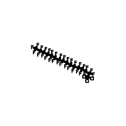 FC(F)(F)C(F)(F)C(F)(F)C(F)(F)C(F)(F)C(F)(F)C(F)(F)C(F)(F)C(F)(F)C(F)(F)C(F)(F)C(F)(F)C(F)(F)C(F)(F)C(F)(F)[Si](Cl)(Cl)Cl